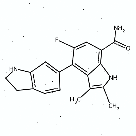 Cc1[nH]c2c(C(N)=O)cc(F)c(-c3ccc4c(c3)NCC4)c2c1C